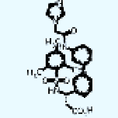 Cc1cc(C)c(S(=O)(=O)N[C@@H](CC(=O)O)c2cccc(-c3cccc(NC(=O)Cn4ccnc4)c3)c2)c(C)c1